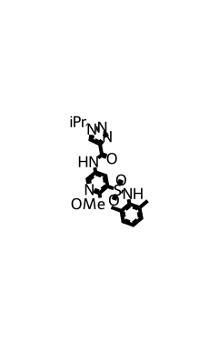 COc1ncc(NC(=O)c2cn(C(C)C)nn2)cc1S(=O)(=O)Nc1c(C)cccc1C